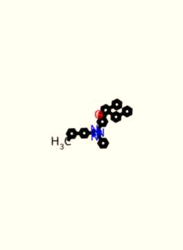 Cc1cccc(-c2ccc(-c3nc(-c4ccccc4)nc(-c4ccc5c(c4)oc4ccc(-c6ccccc6)c(-c6cccc(-c7ccccc7)c6)c45)n3)cc2)c1